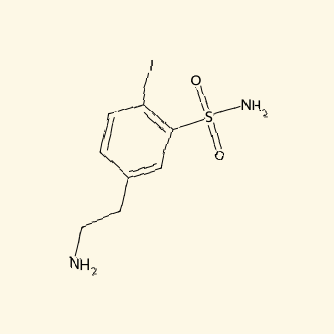 NCCc1ccc(I)c(S(N)(=O)=O)c1